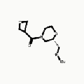 CC(C)(C)NC[C@@H]1CN(C(=O)C2COC2)CCO1